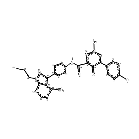 CC(C)n1cc(-c2ccc(Cl)cn2)c(=O)c(C(=O)Nc2ccc(-c3nn(CCF)c4ncnc(N)c34)cc2)n1